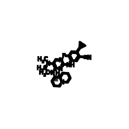 CN(C)c1cnc(Nc2cc(C#N)c(C3CC3)cc2F)nc1N(C)[C@H]1CCCN2CCCC[C@H]12